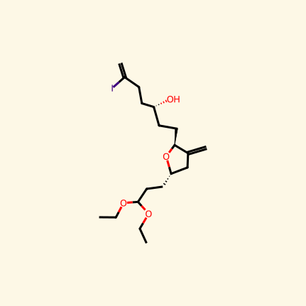 C=C(I)CC[C@H](O)CC[C@@H]1O[C@@H](CCC(OCC)OCC)CC1=C